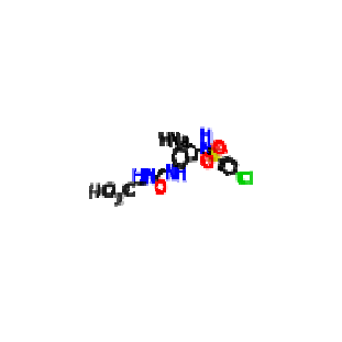 O=C(O)CCNC(=O)CNc1ccc2c(c1)CC(NS(=O)(=O)c1ccc(Cl)cc1)C2.[NaH]